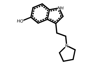 Oc1ccc2[nH]cc(CCN3CCCC3)c2c1